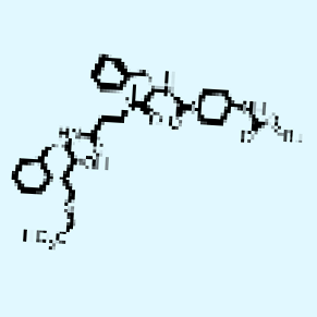 CC(C)(C)OC(=O)NC1CCN(C(=O)N[C@@H](Cc2ccccc2)C(=O)NCCC(=O)N[C@@H](CC2CCCCC2)[C@@H](O)CCSCC(=O)O)CC1